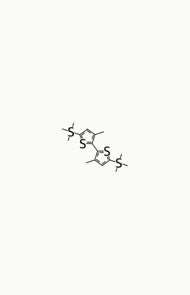 Cc1cc(S(C)(C)C)sc1-c1sc(S(C)(C)C)cc1C